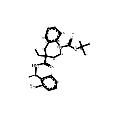 CCC1(C(=O)N[C@H](C)c2ccccc2O)CCN(C(=O)OC(C)(C)C)c2ccccc2C1